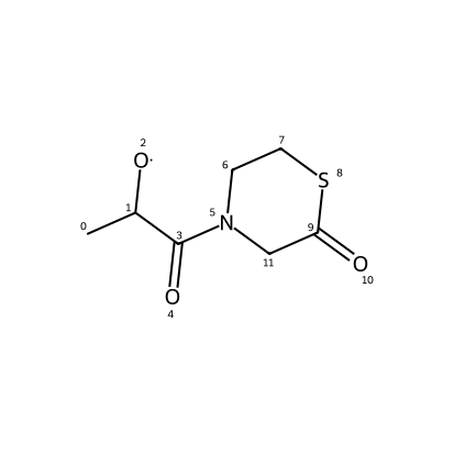 CC([O])C(=O)N1CCSC(=O)C1